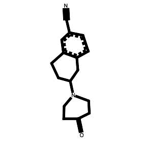 N#Cc1ccc2c(c1)CCC(N1CCC(=O)CC1)C2